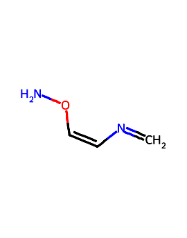 C=N/C=C\ON